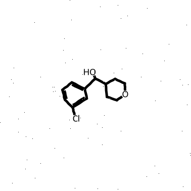 OC(c1cccc(Cl)c1)C1CCOCC1